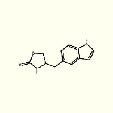 O=C1NC(Cc2ccc3[nH]ccc3c2)CO1